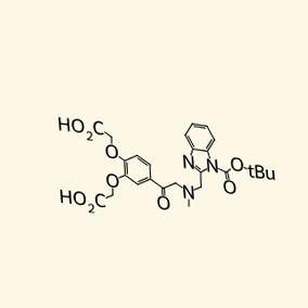 CN(CC(=O)c1ccc(OCC(=O)O)c(OCC(=O)O)c1)Cc1nc2ccccc2n1C(=O)OC(C)(C)C